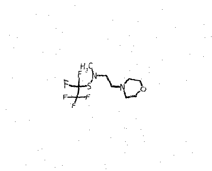 CN(CCN1CCOCC1)SC(F)(F)C(F)(F)F